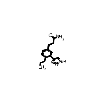 CCCc1ccc(CCC(N)=O)cc1-c1c[nH]nn1